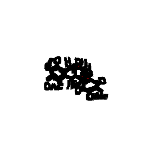 COC1=C(C)C(=O)C2=C(C1=O)C1C3[C@@H]4SCC(=O)C(=O)OC[C@@H](c5c6c(c(C)c(OC(C)=O)c54)OCO6)N3[C@@H](O)[C@@H](C2)N1C